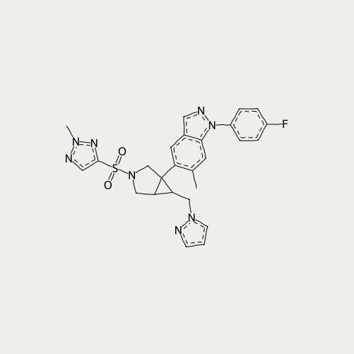 Cc1cc2c(cnn2-c2ccc(F)cc2)cc1C12CN(S(=O)(=O)c3cnn(C)n3)CC1C2Cn1cccn1